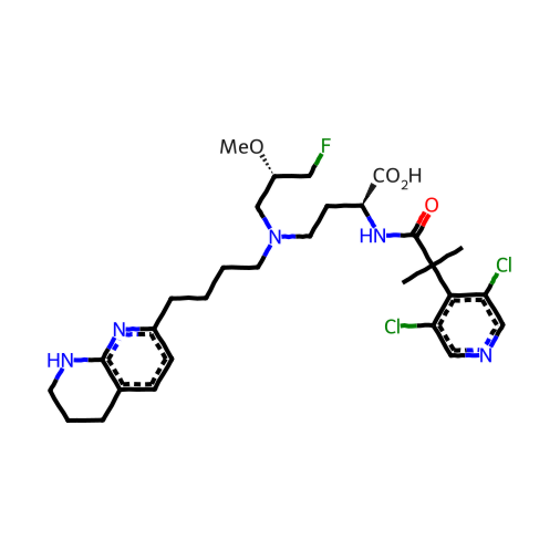 CO[C@H](CF)CN(CCCCc1ccc2c(n1)NCCC2)CC[C@H](NC(=O)C(C)(C)c1c(Cl)cncc1Cl)C(=O)O